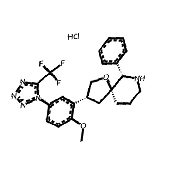 COc1ccc(-n2nnnc2C(F)(F)F)cc1[C@@H]1CO[C@]2(CCCN[C@H]2c2ccccc2)C1.Cl